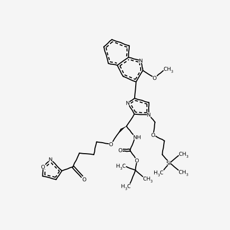 COc1nc2ccccc2cc1-c1cn(COCC[Si](C)(C)C)c([C@H](COCCCC(=O)c2ccon2)NC(=O)OC(C)(C)C)n1